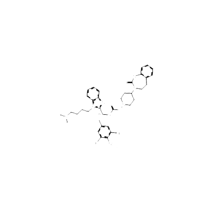 CN(C)CCCCn1c([C@@H](Cc2cc(Br)c(N)c(Br)c2)NC(=O)ON2CCC(N3CCc4ccccc4NC3=O)CC2)nc2ccccc21